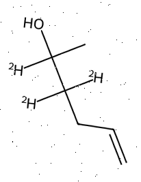 [2H]C(C)(O)C([2H])([2H])CC=C